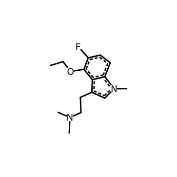 CCOc1c(F)ccc2c1c(CCN(C)C)cn2C